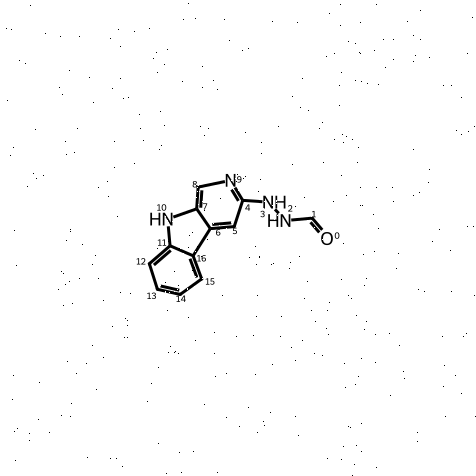 O=CNNc1cc2c(cn1)[nH]c1ccccc12